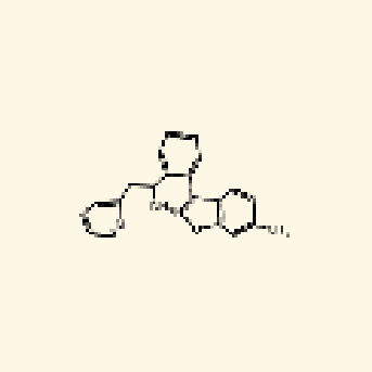 Cc1ccc2c(-c3ccccc3C(N)Cc3ccccn3)noc2c1